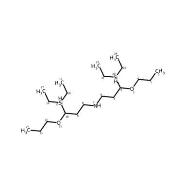 CCCOC(CCNCCC(OCCC)[SiH](CC)CC)[SiH](CC)CC